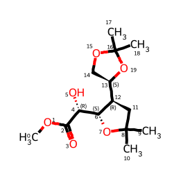 COC(=O)[C@H](O)[C@H]1OC(C)(C)C[C@@H]1[C@H]1COC(C)(C)O1